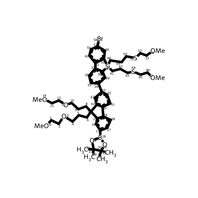 COCCOCCCC1(CCCOCCOC)c2cc(B3OC(C)(C)C(C)(C)O3)ccc2-c2ccc(-c3ccc4c(c3)[Si](CCCSCCOC)(CCCSCCOC)c3cc(Br)ccc3-4)cc21